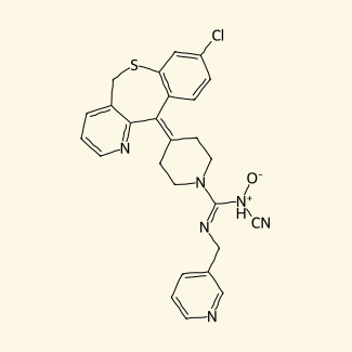 N#C[NH+]([O-])C(=NCc1cccnc1)N1CCC(=C2c3ccc(Cl)cc3SCc3cccnc32)CC1